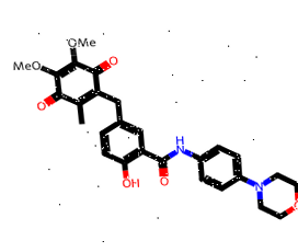 COC1=C(OC)C(=O)C(Cc2ccc(O)c(C(=O)Nc3ccc(N4CCOCC4)cc3)c2)=C(C)C1=O